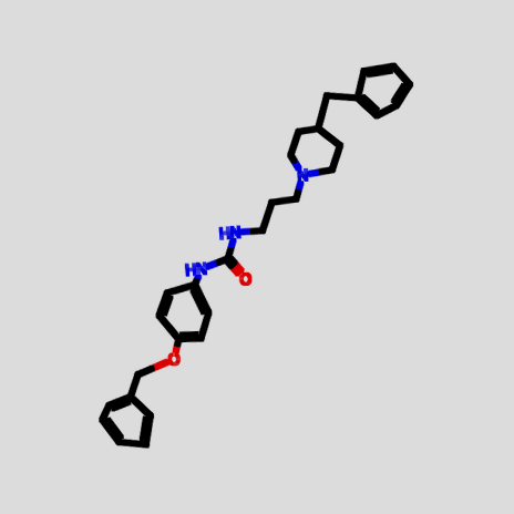 O=C(NCCCN1CCC(Cc2ccccc2)CC1)Nc1ccc(OCc2ccccc2)cc1